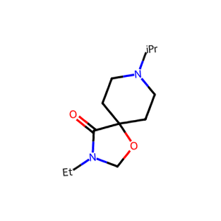 CCN1COC2(CCN(C(C)C)CC2)C1=O